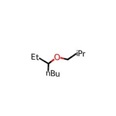 [CH2]CC(CCCC)OCC(C)C